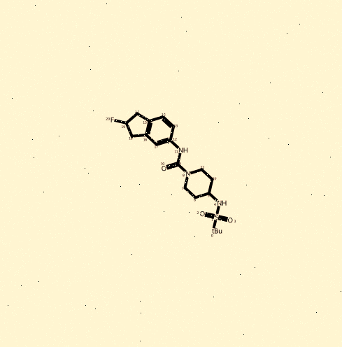 CC(C)(C)S(=O)(=O)NC1CCN(C(=O)Nc2ccc3c(c2)CC(F)C3)CC1